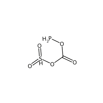 O=C(OP)O[SH](=O)=O